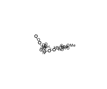 COC(=O)N[C@@H](C)C(=O)N1CCC[C@H]1c1ncc(-c2ccc(-c3ccc(-c4cnc([C@@H]5CCCN5C(=O)[C@H](Cc5ccc(OCc6ccccc6)cc5)OC(N)=O)[nH]4)cc3)cc2)[nH]1